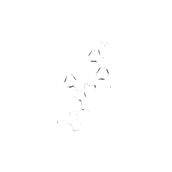 Nc1cccc(-c2ccc(Cl)c(C(=O)Nc3cc(C(=O)NC4CCCC4O)nn3-c3ccccc3)c2)n1